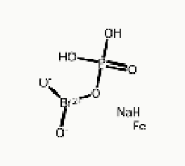 O=P(O)(O)O[Br+2]([O-])[O-].[Fe].[NaH]